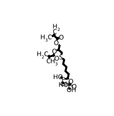 C=C(C)C(=O)OCC(CSCCCCCC(OP(=O)(O)O)P(O)O)OC(=O)C(=C)C